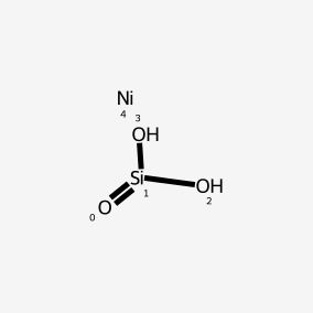 O=[Si](O)O.[Ni]